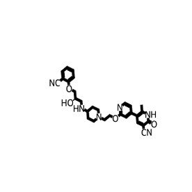 Cc1[nH]c(=O)c(C#N)cc1-c1ccnc(OCCN2CCC(NC[C@H](O)COc3ccccc3C#N)CC2)c1